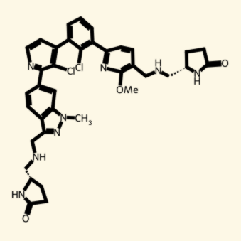 COc1nc(-c2cccc(-c3ccnc(-c4ccc5c(CNC[C@@H]6CCC(=O)N6)nn(C)c5c4)c3Cl)c2Cl)ccc1CNC[C@@H]1CCC(=O)N1